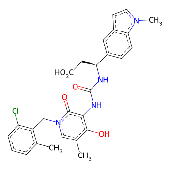 Cc1cn(Cc2c(C)cccc2Cl)c(=O)c(NC(=O)N[C@@H](CC(=O)O)c2ccc3c(ccn3C)c2)c1O